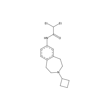 CCC(CC)C(=O)Nc1ccc2c(c1)CCN(C1CCC1)CC2